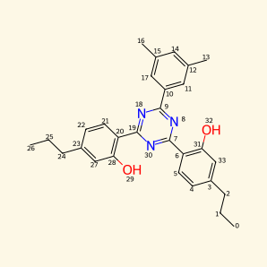 CCCc1ccc(-c2nc(-c3cc(C)cc(C)c3)nc(-c3ccc(CCC)cc3O)n2)c(O)c1